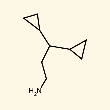 NCCC(C1CC1)C1CC1